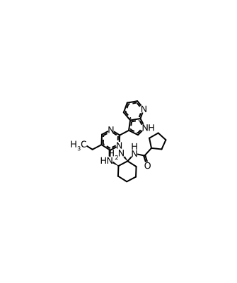 CCc1cnc(-c2c[nH]c3ncccc23)nc1N[C@@H]1CCCC[C@@]1(N)NC(=O)C1CCCC1